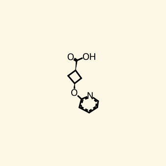 O=C(O)[C@H]1C[C@@H](Oc2ccccn2)C1